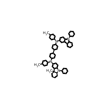 Cc1ccc(N(c2ccc(-c3ccc(N(c4ccc(C)cc4)c4ccc5c(c4)c4ccccc4n5-c4ccccc4)cc3)cc2)c2ccc3c(c2)C2(C)C=CC=CC2N3c2ccccc2)cc1